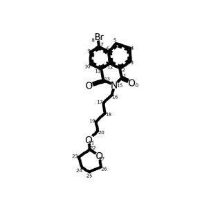 O=C1c2cccc3c(Br)ccc(c23)C(=O)N1CCCCCOC1CCCCO1